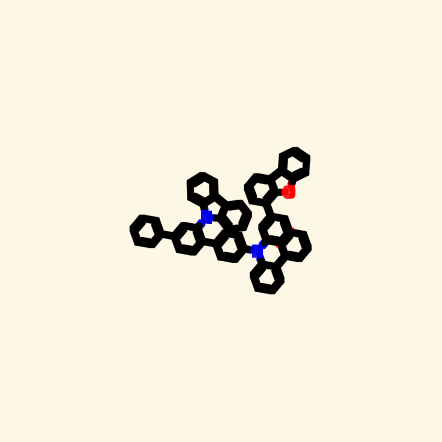 c1ccc(-c2ccc(-c3ccc(N(c4cccc(-c5cccc6c5oc5ccccc56)c4)c4ccccc4-c4ccccc4)cc3)c(-n3c4ccccc4c4ccccc43)c2)cc1